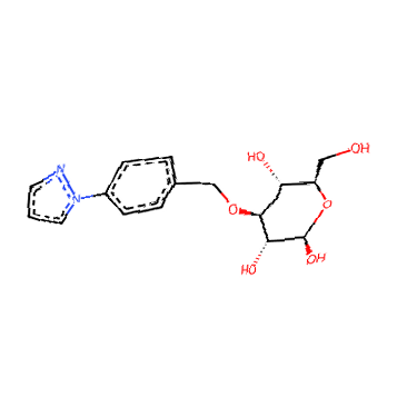 OC[C@H]1O[C@@H](O)[C@H](O)[C@@H](OCc2ccc(-n3cccn3)cc2)[C@@H]1O